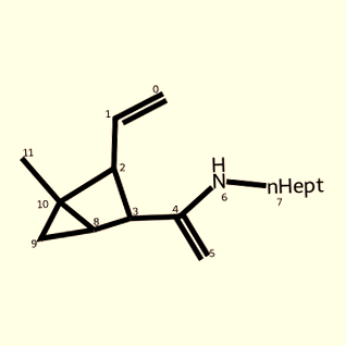 C=CC1C(C(=C)NCCCCCCC)C2CC12C